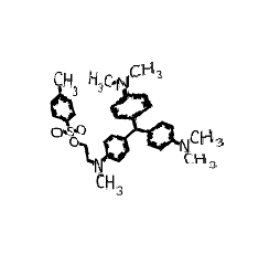 Cc1ccc(S(=O)(=O)OCCN(C)c2ccc(C(c3ccc(N(C)C)cc3)c3ccc(N(C)C)cc3)cc2)cc1